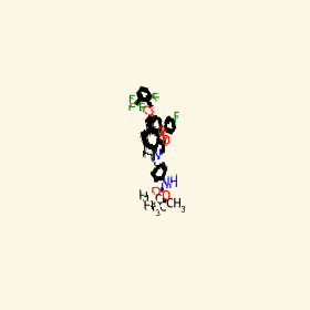 CC(C)(C)OC(=O)N[C@H]1CC[C@H](CN2CC[C@@]3(S(=O)(=O)c4ccc(F)cc4)c4ccc(OCc5c(F)cccc5C(F)(F)F)cc4CC[C@@H]23)CC1